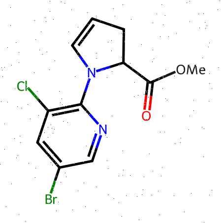 COC(=O)C1CC=CN1c1ncc(Br)cc1Cl